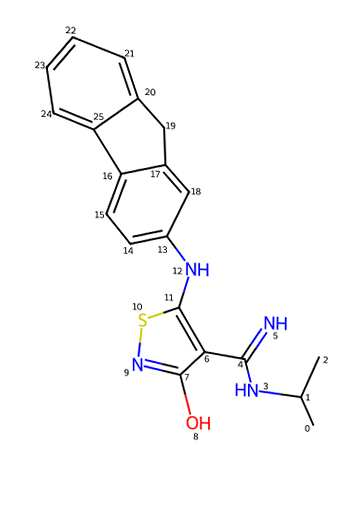 CC(C)NC(=N)c1c(O)nsc1Nc1ccc2c(c1)Cc1ccccc1-2